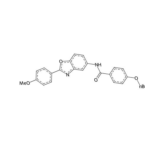 CCCCOc1ccc(C(=O)Nc2ccc3oc(-c4ccc(OC)cc4)nc3c2)cc1